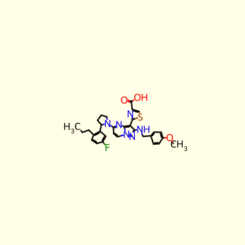 CCCc1ccc(F)cc1C1CCCN1c1ccn2nc(NCc3ccc(OC)cc3)c(-c3nc(C(=O)O)cs3)c2n1